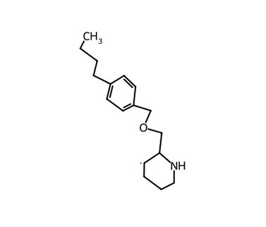 CCCCc1ccc(COCC2[CH]CCCN2)cc1